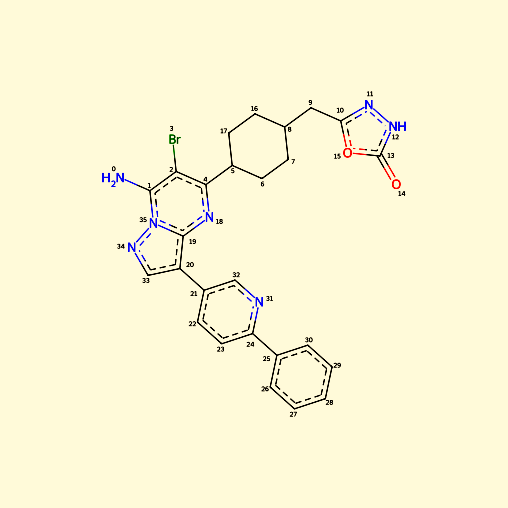 Nc1c(Br)c(C2CCC(Cc3n[nH]c(=O)o3)CC2)nc2c(-c3ccc(-c4ccccc4)nc3)cnn12